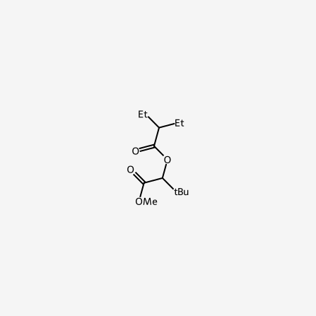 CCC(CC)C(=O)OC(C(=O)OC)C(C)(C)C